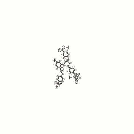 O=C(O)c1ccc(CC(C=Cc2cc(F)ccc2OCCc2ccc(C(F)(F)F)cc2)CCc2ccc(-c3noc(=O)[nH]3)cc2)cc1